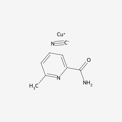 Cc1cccc(C(N)=O)n1.[C-]#N.[Cu+]